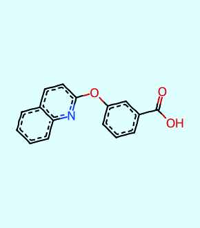 O=C(O)c1cccc(Oc2ccc3ccccc3n2)c1